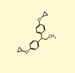 CCC(c1ccc(OC2CC2)cc1)c1ccc(OC2CC2)cc1